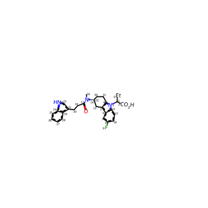 CCC(C(=O)O)n1c2c(c3cc(F)ccc31)C[C@@H](N(C)C(=O)CCc1c[nH]c3ccccc13)CC2